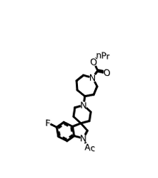 CCCOC(=O)N1CCCC(N2CCC3(CC2)CN(C(C)=O)c2ccc(F)cc23)CC1